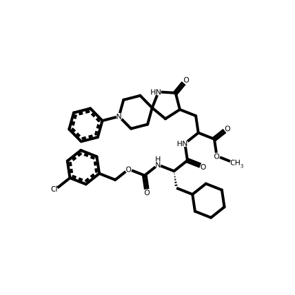 COC(=O)C(CC1CC2(CCN(c3ccccc3)CC2)NC1=O)NC(=O)[C@H](CC1CCCCC1)NC(=O)OCc1cccc(Cl)c1